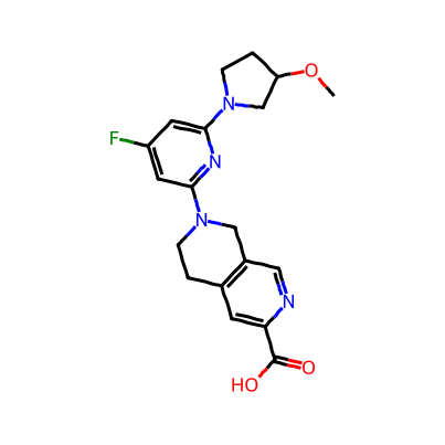 COC1CCN(c2cc(F)cc(N3CCc4cc(C(=O)O)ncc4C3)n2)C1